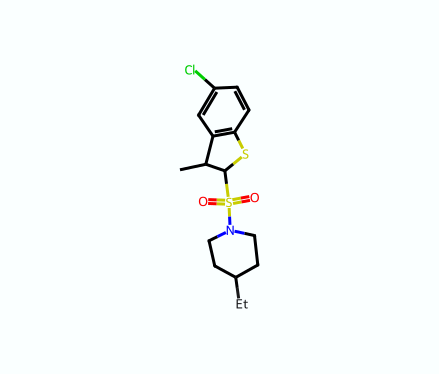 CCC1CCN(S(=O)(=O)C2Sc3ccc(Cl)cc3C2C)CC1